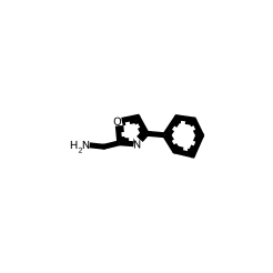 NCc1nc(-c2ccccc2)co1